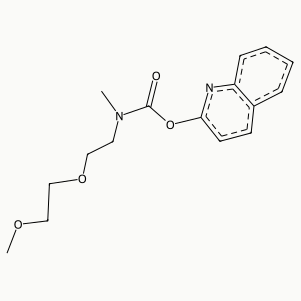 COCCOCCN(C)C(=O)Oc1ccc2ccccc2n1